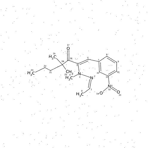 C/C=N\N(C)/C(=C\c1cccc([N+](=O)[O-])c1)C(=O)C(C)(C)CCC